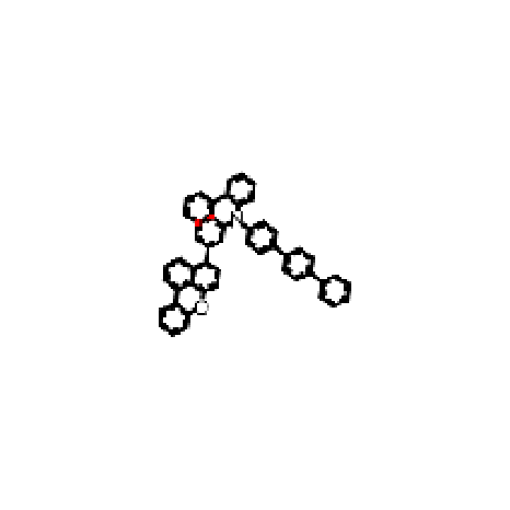 c1ccc(-c2ccc(-c3ccc(N(c4cccc(-c5ccc6c7c(cccc57)-c5ccccc5O6)c4)c4ccccc4-c4ccccc4)cc3)cc2)cc1